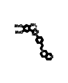 COc1cc(N)c(-c2nnn(-c3ccc(CCN4CCc5ccncc5C4)cc3)n2)cc1OC